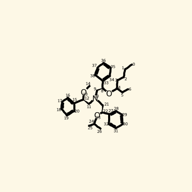 CCCCC(CC)O[C@@H](CN(C[C@H](OC)c1ccccc1)C[C@H](OC(C)C)c1ccccc1)c1ccccc1